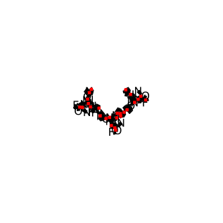 C=C(F)C(=O)N1CCN(c2nc(OCC34CCCN3C(c3ccc(Br)c5c(N6CCc7c(nc(OCC89CCCN8C(Cc8cccc(N%10CCc%11c(nc(OCC%12%13CCCN%12CCC%13)nc%11N%11CCN(C(=O)C(=C)F)[C@@H](CC#N)C%11)C%10)c8C(F)(F)F)CC9)nc7N7CCN(C(=O)C(=C)F)[C@@H](CC#N)C7)C6)cccc35)CC4)nc3c2CCN(c2cccc(C)c2C)C3)C[C@@H]1CC#N